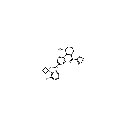 O=C(c1cncs1)N1CCCC(O)C1c1ccc(NCC2(c3ncccc3F)CCC2)nn1